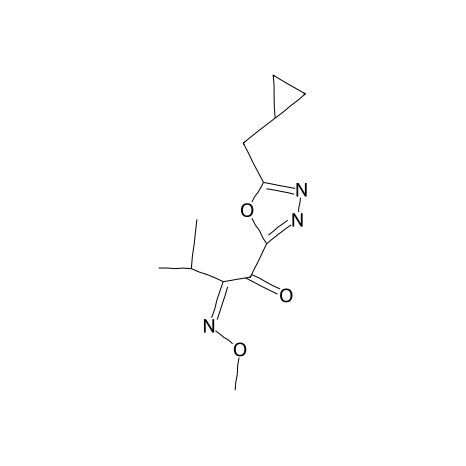 CO/N=C(\C(=O)c1nnc(CC2CC2)o1)C(C)C